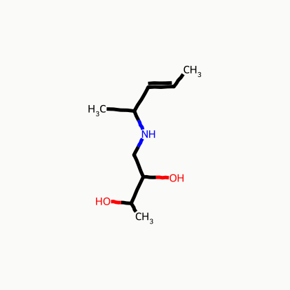 CC=CC(C)NCC(O)C(C)O